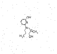 CCCN(C[C@@H](C)CO)c1cccc(O)n1